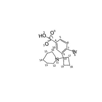 O=S(=O)(O)c1ccc(Br)c(C2(N3CCCCC3)CCC2)c1